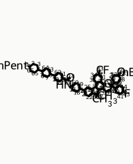 CCCCCC1CCC(c2ccc(-c3ccc(C(=O)Nc4ccc(-c5ccc6c(c5)-c5c(c7c(c8cc(C(F)(F)F)ccc58)OC(c5ccc(F)cc5)(c5ccc(OCCCC)cc5)C=C7)C6(C)C)cc4)cc3)cc2)CC1